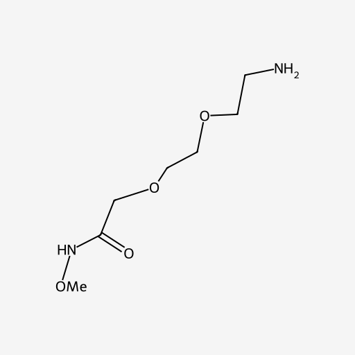 CONC(=O)COCCOCCN